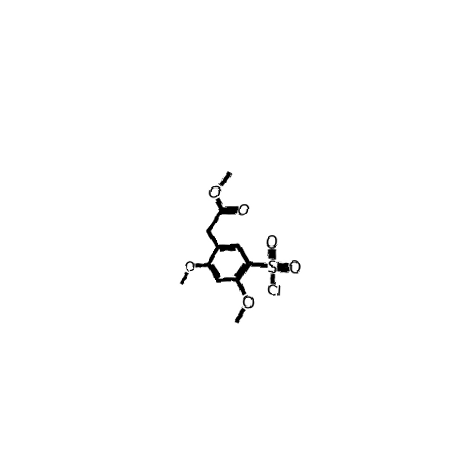 COC(=O)Cc1cc(S(=O)(=O)Cl)c(OC)cc1OC